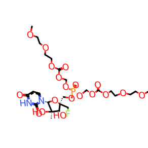 COCCOCCOC(=O)OCOP(=O)(OCOC(=O)OCCOCCOC)OC[C@@]1(CF)O[C@@H](n2ccc(=O)[nH]c2=O)[C@](C)(O)[C@@H]1O